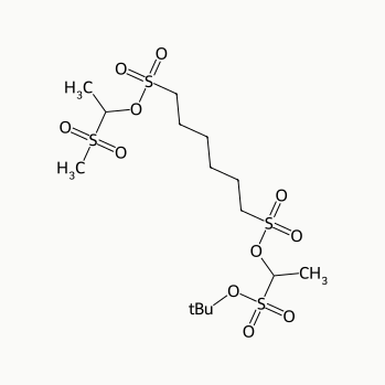 CC(OS(=O)(=O)CCCCCCS(=O)(=O)OC(C)S(=O)(=O)OC(C)(C)C)S(C)(=O)=O